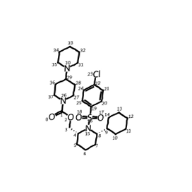 O=C(OC[C@H]1CCC[C@@H](C2CCCCC2)N1S(=O)(=O)c1ccc(Cl)cc1)N1CCC(N2CCCCC2)CC1